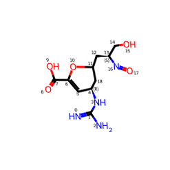 N=C(N)N[C@H]1C=C(C(=O)O)OC(C[C@@H](CO)N=O)C1